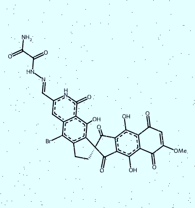 COC1=CC(=O)c2c(O)c3c(c(O)c2C1=O)C(=O)[C@]1(CCc2c1c(O)c1c(=O)[nH]c(/C=N/NC(=O)C(N)=O)cc1c2Br)C3=O